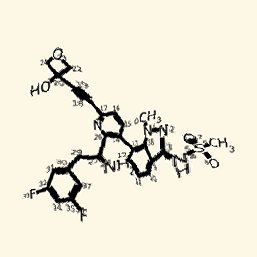 Cn1nc(NS(C)(=O)=O)c2cccc(-c3ccc(C#CC4(O)COC4)nc3C(N)Cc3cc(F)cc(F)c3)c21